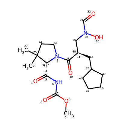 COC(=O)NC(=O)[C@H]1N(C(=O)[C@H](CC2CCCC2)CN(O)C=O)CCC1(C)C